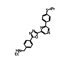 CCNCc1ccc(-c2nnc(-c3cncc(-c4ccc(SC(C)C)cc4)n3)o2)cc1